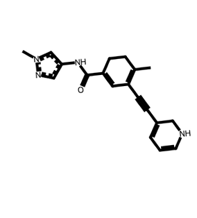 CC1=C(C#CC2=CC=CNC2)C=C(C(=O)Nc2cnn(C)c2)CC1